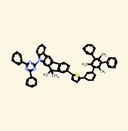 Cc1c(C2=CC(c3ccc(-c4ccc5c(c4)C(C)(C)c4cc6c(cc4-5)c4ccccc4n6-c4nc(-c5ccccc5)nc(-c5ccccc5)n4)s3)CC=C2)c(C)c(-c2ccccc2)c(C)c1-c1ccccc1